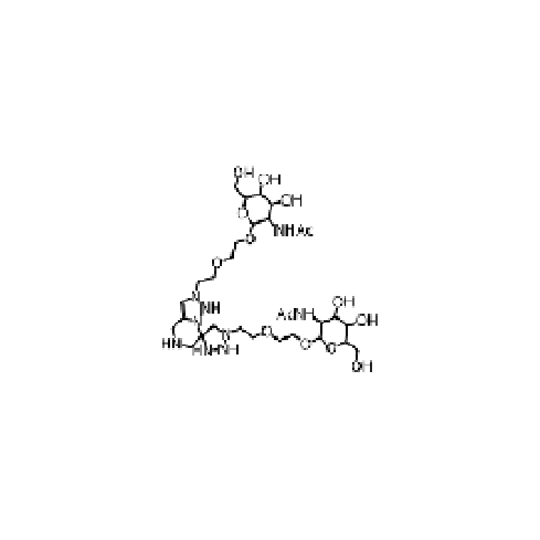 CC(=O)NC1C(OCCOCCN2C=C3CNCC4(CN(CCOCCOC5OC(CO)C(O)C(O)C5NC(C)=O)NN4)N3N2)OC(CO)C(O)C1O